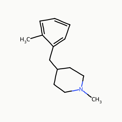 Cc1ccccc1CC1CCN(C)CC1